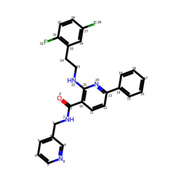 O=C(NCc1cccnc1)c1ccc(-c2ccccc2)nc1NCCc1cc(F)ccc1F